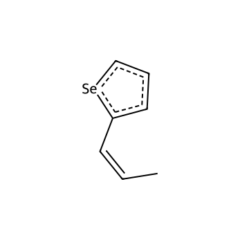 C/C=C\c1ccc[se]1